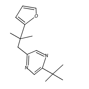 CC(C)(C)c1cnc(CC(C)(C)c2ccco2)cn1